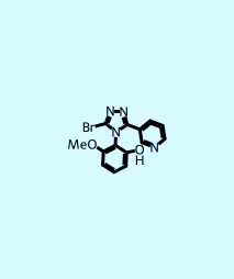 COc1cccc(O)c1-n1c(Br)nnc1C1=C=C=CN=C1